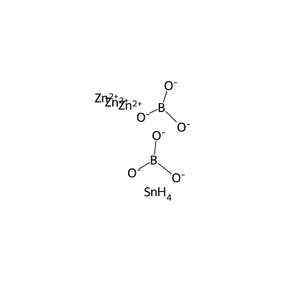 [O-]B([O-])[O-].[O-]B([O-])[O-].[SnH4].[Zn+2].[Zn+2].[Zn+2]